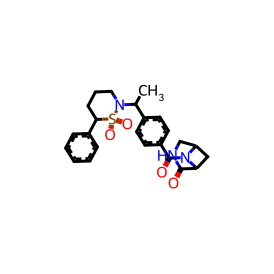 CC(c1ccc(C(=O)N2C3CNC(=O)C2C3)cc1)N1CCCC(c2ccccc2)S1(=O)=O